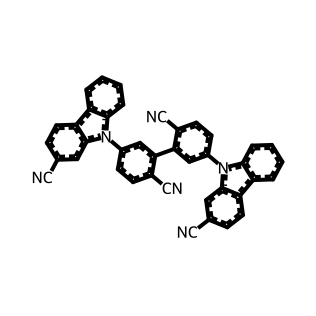 N#Cc1ccc2c3ccccc3n(-c3ccc(C#N)c(-c4cc(-n5c6ccccc6c6ccc(C#N)cc65)ccc4C#N)c3)c2c1